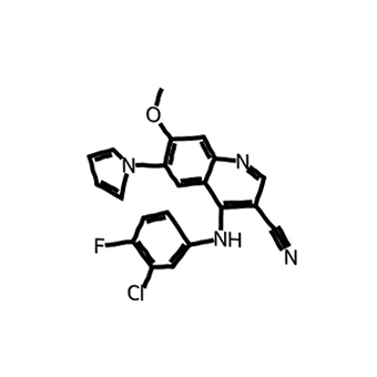 COc1cc2ncc(C#N)c(Nc3ccc(F)c(Cl)c3)c2cc1-n1cccc1